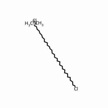 C[Si](C)(Cl)CCCCCCCCCCCCCCCCCCCCCCCCCCCCCCCCCl